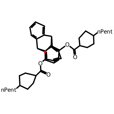 CCCCCC1CCC(C(=O)Oc2ccc(OC(=O)C3CCC(CCCCC)CC3)c3c2C2c4ccccc4C3c3ccccc32)CC1